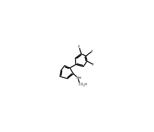 O=C(O)Nc1ccccc1-c1cc(F)c(F)c(F)c1